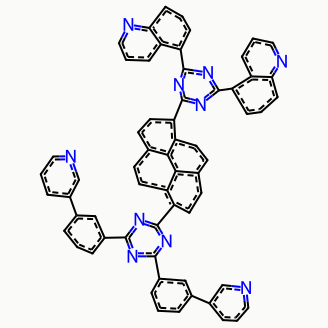 c1cncc(-c2cccc(-c3nc(-c4cccc(-c5cccnc5)c4)nc(-c4ccc5ccc6c(-c7nc(-c8cccc9ncccc89)nc(-c8cccc9ncccc89)n7)ccc7ccc4c5c76)n3)c2)c1